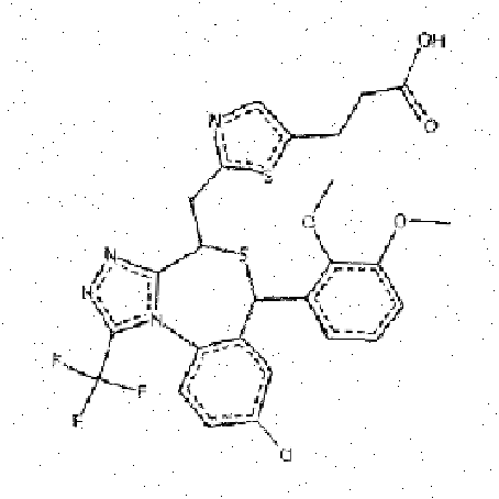 COc1cccc(C2SC(Cc3ncc(CCC(=O)O)s3)c3nnc(C(F)(F)F)n3-c3ccc(Cl)cc32)c1OC